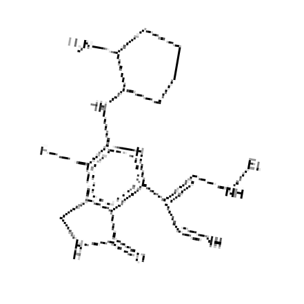 CCN/C=C(\C=N)c1nc(NC2CCCCC2N)c(F)c2c1C(=O)NC2